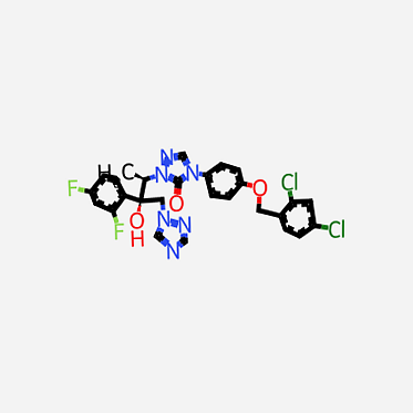 C[C@@H](n1ncn(-c2ccc(OCc3ccc(Cl)cc3Cl)cc2)c1=O)[C@](O)(Cn1cncn1)c1ccc(F)cc1F